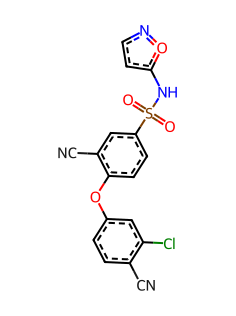 N#Cc1ccc(Oc2ccc(S(=O)(=O)Nc3ccno3)cc2C#N)cc1Cl